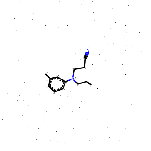 CCCN(CCC#N)c1cccc(C)c1